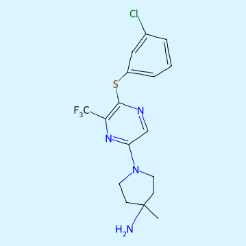 CC1(N)CCN(c2cnc(Sc3cccc(Cl)c3)c(C(F)(F)F)n2)CC1